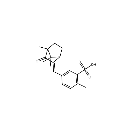 Cc1ccc(C=C2C(=O)C3(C)CCC2C3(C)C)cc1S(=O)(=O)O